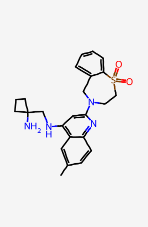 Cc1ccc2nc(N3CCS(=O)(=O)c4ccccc4C3)cc(NCC3(N)CCC3)c2c1